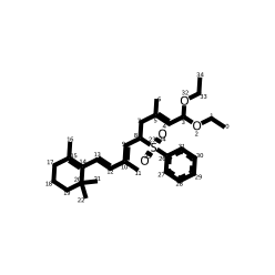 CCOC(C=C(C)CC(C=C(C)C=CC1=C(C)CCCC1(C)C)S(=O)(=O)c1ccccc1)OCC